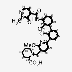 COc1nc(-c2cccc(-c3cccc(NC(=O)c4ccnn(C)c4=O)c3Cl)c2Cl)ccc1CN1CCCC[C@@H]1C(=O)O